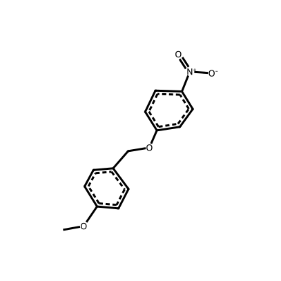 COc1ccc(COc2ccc([N+](=O)[O-])cc2)cc1